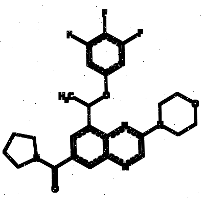 CC(Oc1cc(F)c(F)c(F)c1)c1cc(C(=O)N2CCCC2)cc2ncc(N3CCOCC3)nc12